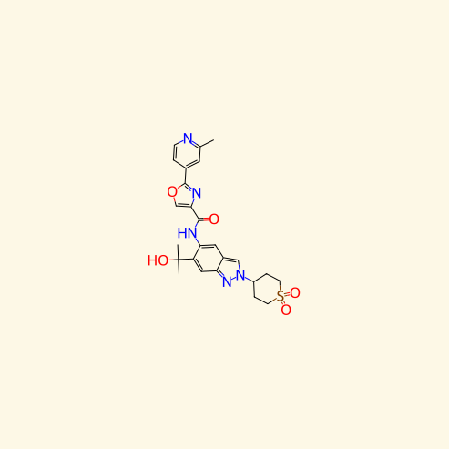 Cc1cc(-c2nc(C(=O)Nc3cc4cn(C5CCS(=O)(=O)CC5)nc4cc3C(C)(C)O)co2)ccn1